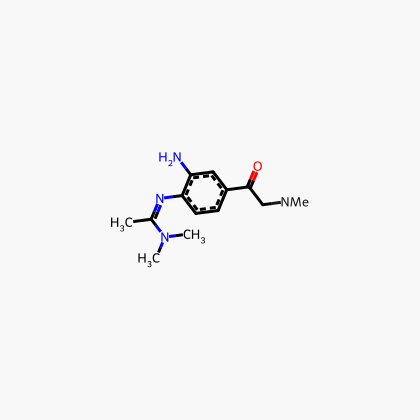 CNCC(=O)c1ccc(N=C(C)N(C)C)c(N)c1